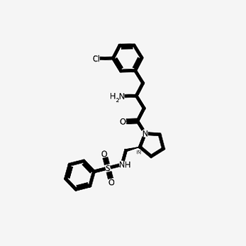 NC(CC(=O)N1CCC[C@H]1CNS(=O)(=O)c1ccccc1)Cc1cccc(Cl)c1